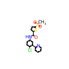 CS(=O)(=O)c1ccc(C(=O)Nc2ccc(Cl)c(-c3ccccn3)c2)s1